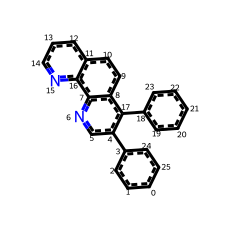 c1ccc(-c2cnc3c(ccc4cccnc43)c2-c2ccccc2)cc1